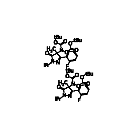 CC(C)N1N=C(c2ccccc2F)C(C)(N(OC(=O)OC(C)(C)C)C(=O)OC(C)(C)C)C1=O.CC(C)N1N=C(c2ccccc2F)C(C)(N(OC(=O)OC(C)(C)C)C(=O)OC(C)(C)C)C1=O